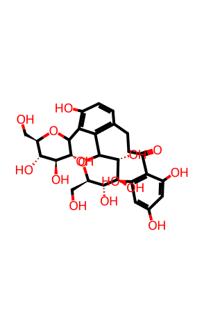 O=C(CCc1ccc(O)c(C2O[C@H](CO)[C@@H](O)[C@H](O)[C@H]2O)c1C1O[C@H](CO)[C@@H](O)[C@H](O)[C@H]1O)c1c(O)cc(O)cc1O